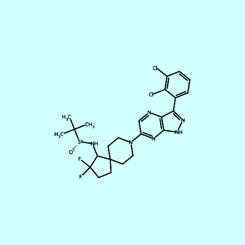 CC(C)(C)[S@@+]([O-])NC1C(F)(F)CCC12CCN(c1cnc3c(-c4cccc(Cl)c4Cl)n[nH]c3n1)CC2